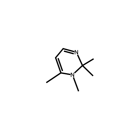 CC1=CC=NC(C)(C)N1C